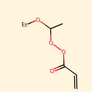 C=CC(=O)OOC(C)OCC